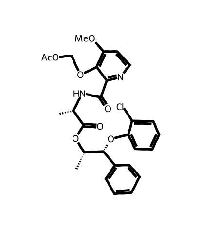 COc1ccnc(C(=O)N[C@@H](C)C(=O)O[C@@H](C)[C@H](Oc2ccccc2Cl)c2ccccc2)c1OCOC(C)=O